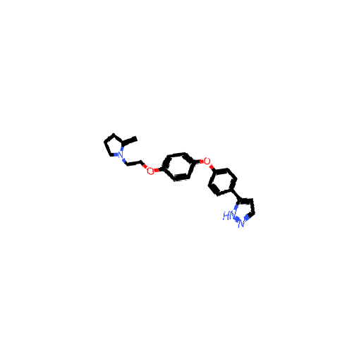 C=C1CCCN1CCOc1ccc(Oc2ccc(-c3ccn[nH]3)cc2)cc1